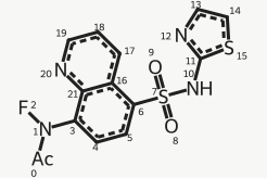 CC(=O)N(F)c1ccc(S(=O)(=O)Nc2nccs2)c2cccnc12